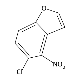 O=[N+]([O-])c1c(Cl)ccc2occc12